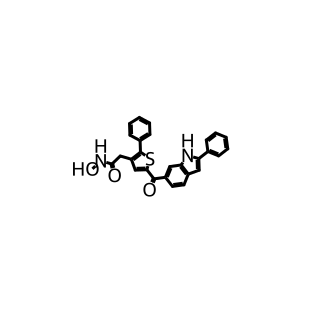 O=C(Cc1cc(C(=O)c2ccc3cc(-c4ccccc4)[nH]c3c2)sc1-c1ccccc1)NO